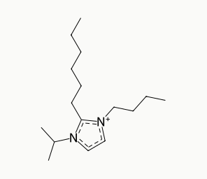 CCCCCCc1n(C(C)C)cc[n+]1CCCC